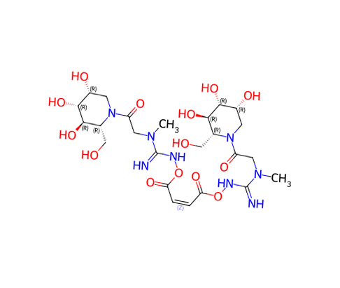 CN(CC(=O)N1C[C@@H](O)[C@@H](O)[C@H](O)[C@H]1CO)C(=N)NOC(=O)/C=C\C(=O)ONC(=N)N(C)CC(=O)N1C[C@@H](O)[C@@H](O)[C@H](O)[C@H]1CO